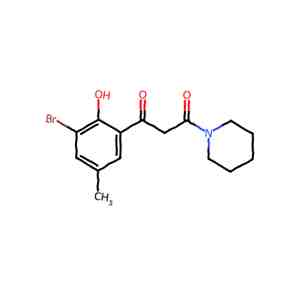 Cc1cc(Br)c(O)c(C(=O)CC(=O)N2CCCCC2)c1